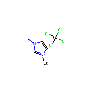 CC[n+]1ccn(C)c1.[Cl][Ga-]([Cl])([Cl])[Cl]